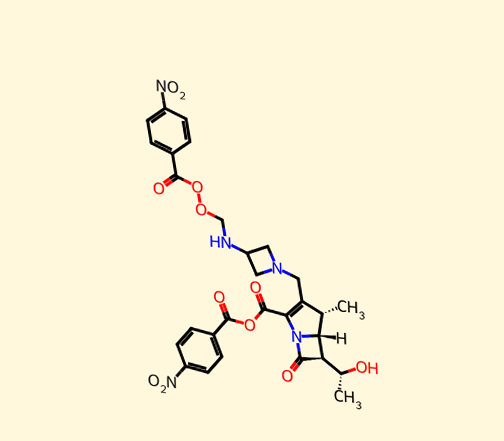 C[C@@H](O)[C@H]1C(=O)N2C(C(=O)OC(=O)c3ccc([N+](=O)[O-])cc3)=C(CN3CC(NCOOC(=O)c4ccc([N+](=O)[O-])cc4)C3)[C@H](C)[C@H]12